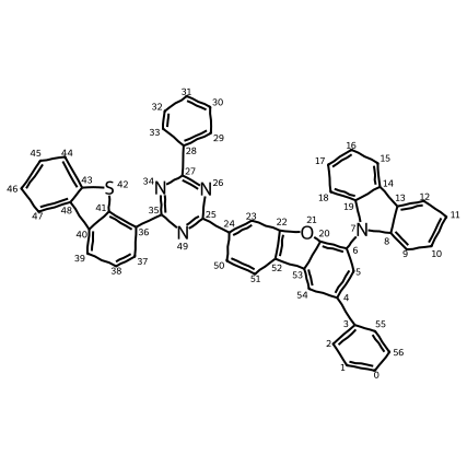 c1ccc(-c2cc(-n3c4ccccc4c4ccccc43)c3oc4cc(-c5nc(-c6ccccc6)nc(-c6cccc7c6sc6ccccc67)n5)ccc4c3c2)cc1